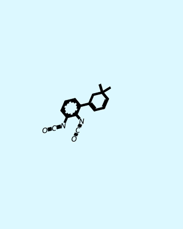 CC1(C)C=CC=C(c2cccc(N=C=O)c2N=C=O)C1